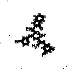 CCc1cccc(CN(C[C@@H](O)[C@@H](N)Cc2cc(F)cc(F)c2)C(=O)C(CC)N2Cc3ccccc3C2=O)c1